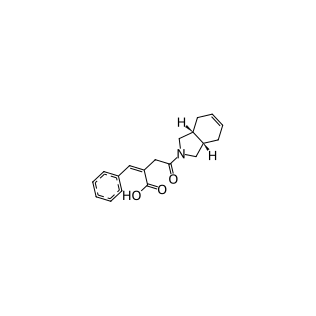 O=C(O)C(=Cc1ccccc1)CC(=O)N1C[C@H]2CC=CC[C@H]2C1